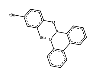 CC(C)(C)c1ccc(OP2Oc3ccccc3-c3ccccc32)c(C(C)(C)C)c1